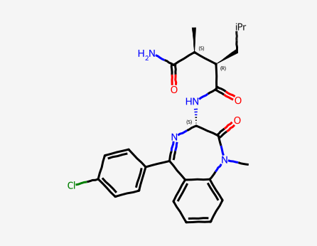 CC(C)C[C@@H](C(=O)N[C@H]1N=C(c2ccc(Cl)cc2)c2ccccc2N(C)C1=O)[C@H](C)C(N)=O